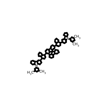 Cc1cc(C)cc(-n2c3ccccc3c3cc(-c4ccc(-c5ccc6c(c5)C5(c7ccccc7-c7ccccc75)c5cc(-c7ccc(-c8ccc9c(c8)c8ccccc8n9-c8cc(C)cc(C)c8)c8ccccc78)ccc5-6)c5ccccc45)ccc32)c1